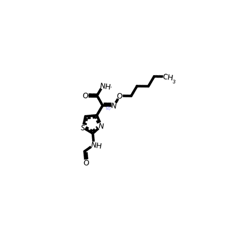 CCCCCO/N=C(\C([NH])=O)c1csc(NC=O)n1